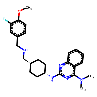 COc1ccc(CNC[C@H]2CC[C@@H](Nc3nc(N(C)C)c4ccccc4n3)CC2)cc1F